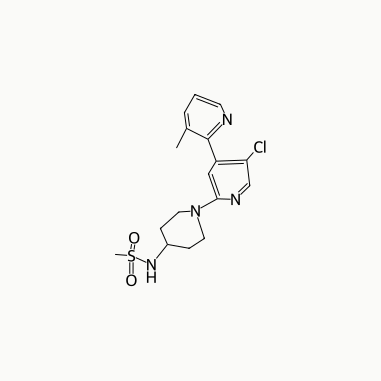 Cc1cccnc1-c1cc(N2CCC(NS(C)(=O)=O)CC2)ncc1Cl